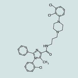 Cc1c(C(=O)NCCCN2CCN(c3cccc(Cl)c3Cl)CC2)nc(-c2ccccc2)n1-c1ccccc1Cl